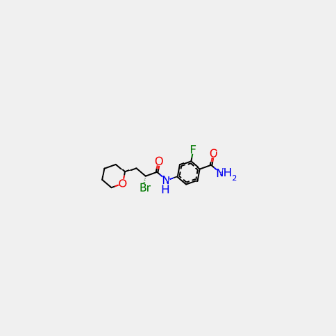 NC(=O)c1ccc(NC(=O)[C@H](Br)CC2CCCCO2)cc1F